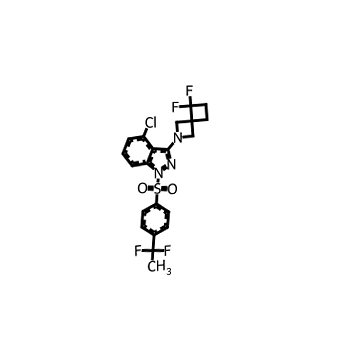 CC(F)(F)c1ccc(S(=O)(=O)n2nc(N3CC4(CCC4(F)F)C3)c3c(Cl)cccc32)cc1